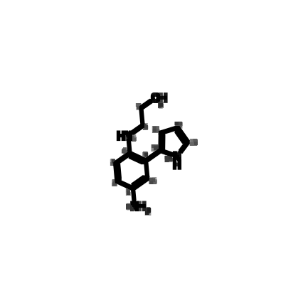 Nc1ccc(NCCO)c(-c2ccc[nH]2)c1